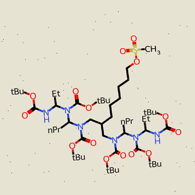 CCCC(N(CC(CCCCCCOS(C)(=O)=O)CN(C(=O)OC(C)(C)C)C(CCC)N(C(=O)OC(C)(C)C)C(CC)NC(=O)OC(C)(C)C)C(=O)OC(C)(C)C)N(C(=O)OC(C)(C)C)C(CC)NC(=O)OC(C)(C)C